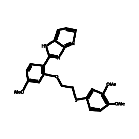 COc1ccc(-c2nc3ncccc3[nH]2)c(OCCSc2ccc(OC)c(OC)c2)c1